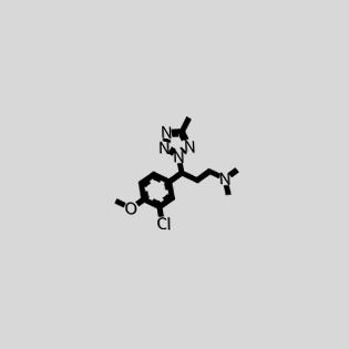 COc1ccc(C(CCN(C)C)n2nnc(C)n2)cc1Cl